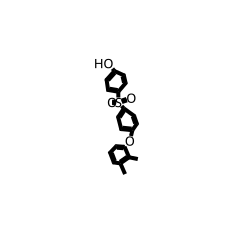 Cc1cccc(Oc2ccc(S(=O)(=O)c3ccc(O)cc3)cc2)c1C